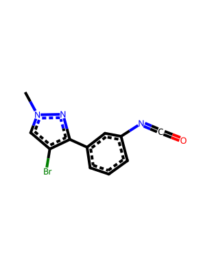 Cn1cc(Br)c(-c2cccc(N=C=O)c2)n1